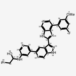 COc1cc(F)cc(-c2cncc3[nH]c(-c4n[nH]c5cnc(-c6cncc(NC(O)CC(C)C)c6)cc45)nc23)c1